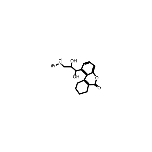 CC(C)NCC(O)C(O)c1cccc2oc(=O)c3c(c12)CCCC3